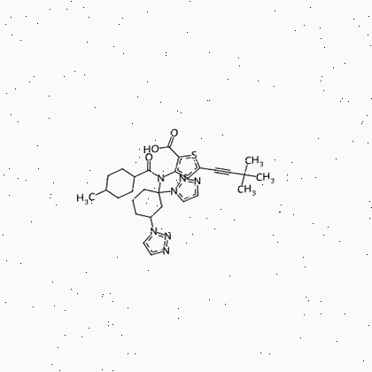 CC1CCC(C(=O)N(c2cc(C#CC(C)(C)C)sc2C(=O)O)C2(n3ccnn3)CCCC(n3ccnn3)C2)CC1